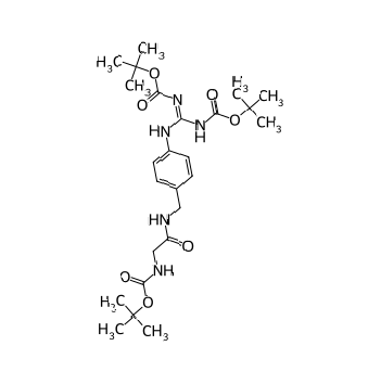 CC(C)(C)OC(=O)/N=C(/NC(=O)OC(C)(C)C)Nc1ccc(CNC(=O)CNC(=O)OC(C)(C)C)cc1